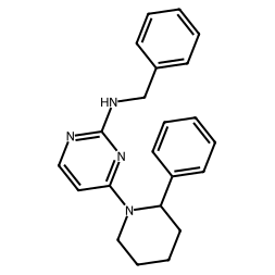 c1ccc(CNc2nccc(N3CCCCC3c3ccccc3)n2)cc1